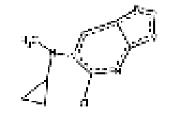 CN(C1CC1)n1cc2ncnc-2nc1Cl